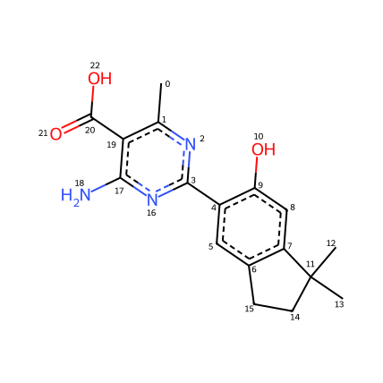 Cc1nc(-c2cc3c(cc2O)C(C)(C)CC3)nc(N)c1C(=O)O